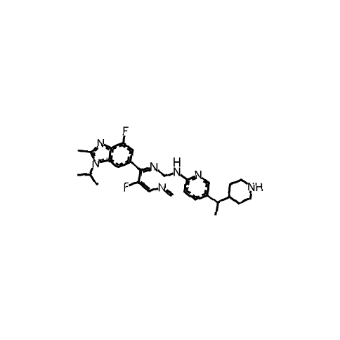 C=N/C=C(F)\C(=N/CNc1ccc(C(C)C2CCNCC2)cn1)c1cc(F)c2nc(C)n(C(C)C)c2c1